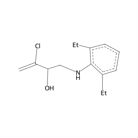 C=C(Cl)C(O)CNc1c(CC)cccc1CC